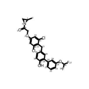 CC1CN1C(=O)COc1cc(Cl)c(Cc2ccc(O)c(-c3cccc(OC(F)F)c3)c2)c(Cl)c1